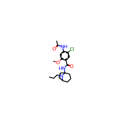 CCCN1C2CCCC1(NC(=O)c1cc(Cl)c(NC(C)=O)cc1OC)CC2